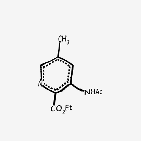 CCOC(=O)c1ncc(C)cc1NC(C)=O